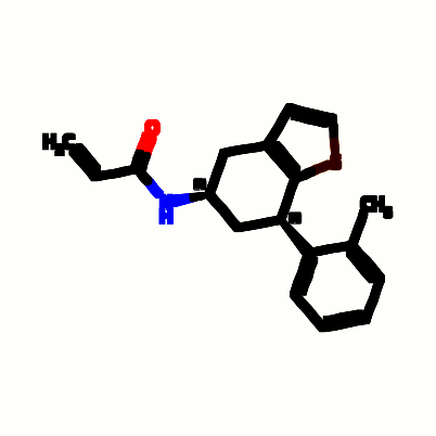 C=CC(=O)N[C@H]1Cc2ccsc2[C@@H](c2ccccc2C)C1